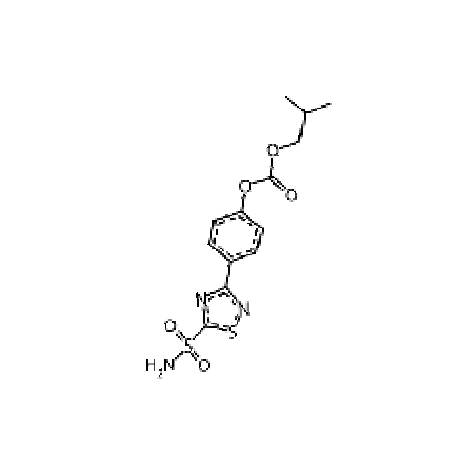 CC(C)COC(=O)Oc1ccc(-c2nsc(S(N)(=O)=O)n2)cc1